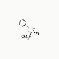 CCN[C@H](CCc1ccccc1)C(=O)O